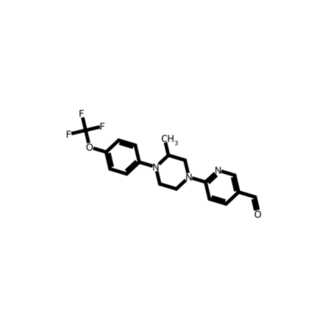 CC1CN(c2ccc(C=O)cn2)CCN1c1ccc(OC(F)(F)F)cc1